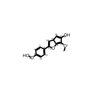 COC1=C2OC(c3ccc(OO)cc3)=CC2C=C1O